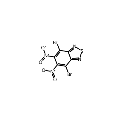 O=[N+]([O-])c1c([N+](=O)[O-])c(Br)c2nsnc2c1Br